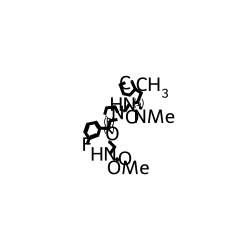 CNC[C@H](CC1(C)CCCCC1)NC(=O)N1CCC[C@@H]([C@@H](OCCNC(=O)OC)c2cccc(F)c2)C1